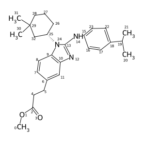 COC(=O)CCc1ccc2c(c1)nc(Nc1ccc(C(C)C)cc1)n2[C@H]1CCCC(C)(C)C1